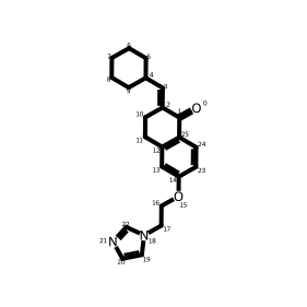 O=C1/C(=C/C2CCCCC2)CCc2cc(OCCn3ccnc3)ccc21